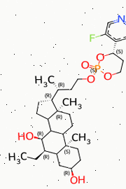 CC[C@@H]1C2C[C@H](O)CC[C@]2(C)C2CC[C@@]3(C)C(CC[C@@H]3[C@H](C)CCO[P@@]3(=O)OCC[C@@H](c4ccncc4F)O3)C2[C@@H]1O